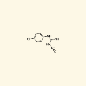 [C-]#[N+]NC(=N)Nc1ccc(Cl)cc1